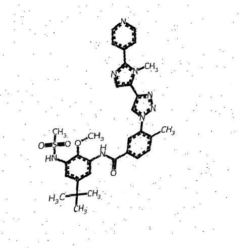 COc1c(NC(=O)c2ccc(C)c(-n3cc(-c4cnc(-c5ccncc5)n4C)nn3)c2)cc(C(C)(C)C)cc1NS(C)(=O)=O